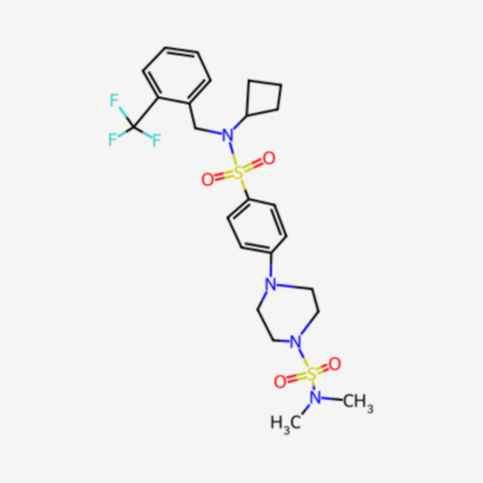 CN(C)S(=O)(=O)N1CCN(c2ccc(S(=O)(=O)N(Cc3ccccc3C(F)(F)F)C3CCC3)cc2)CC1